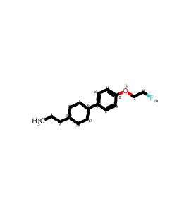 CCCC1CCC(c2ccc(OCCF)cc2)CC1